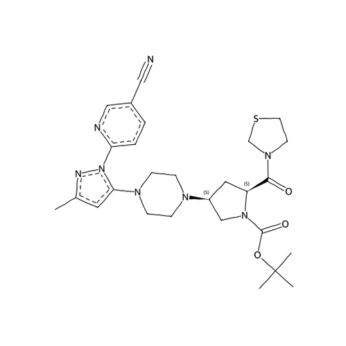 Cc1cc(N2CCN([C@H]3C[C@@H](C(=O)N4CCSC4)N(C(=O)OC(C)(C)C)C3)CC2)n(-c2ccc(C#N)cn2)n1